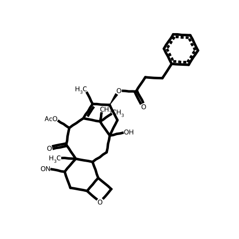 CC(=O)OC1C(=O)C2(C)C(N=O)CC3OCC3C2CC2(O)C[C@H](OC(=O)CCc3ccccc3)C(C)=C1C2(C)C